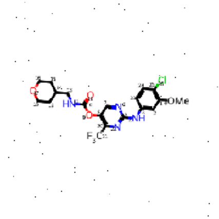 COc1cc(Nc2ncc(OC(=O)NCC3CCOCC3)c(C(F)(F)F)n2)ccc1Cl